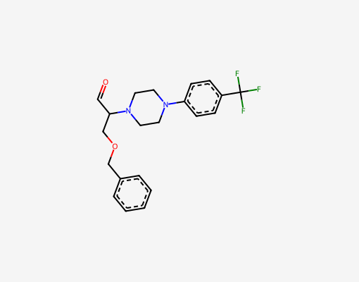 O=CC(COCc1ccccc1)N1CCN(c2ccc(C(F)(F)F)cc2)CC1